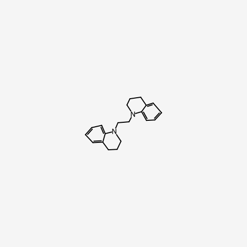 c1ccc2c(c1)CCCN2CCN1CCCc2ccccc21